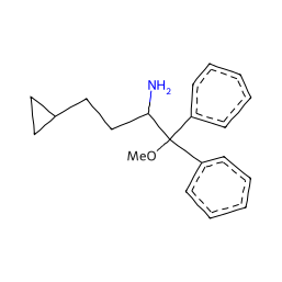 COC(c1ccccc1)(c1ccccc1)C(N)CCC1CC1